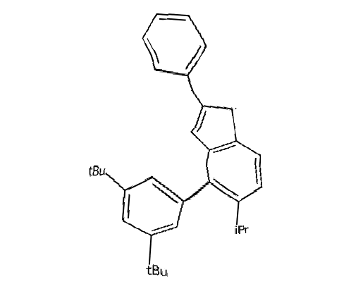 CC(C)c1ccc2c(c1-c1cc(C(C)(C)C)cc(C(C)(C)C)c1)C=C(c1ccccc1)[CH]2